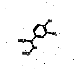 CCOC(=O)NN(C(=O)OCC)c1ccc(O)c(C(F)(F)F)c1